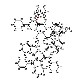 Cc1ccc(N(c2ccc(C)cc2)c2c(-c3nc(-c4ccccc4)nc(-c4ccccc4)n3)cc(-n3c4ccccc4c4c5c(c6ccccc6n5-c5ccccc5)c5c(c6ccccc6n5-c5ccccc5)c43)cc2-n2c3ccccc3c3ccccc32)cc1